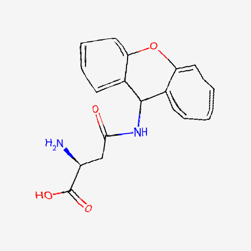 N[C@@H](CC(=O)NC1c2ccccc2Oc2ccccc21)C(=O)O